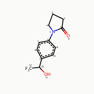 O=C1CCCN1c1ccc(C(O)C(F)(F)F)cc1